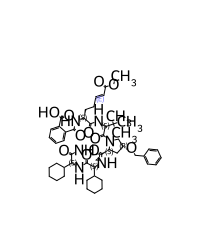 COC(=O)/C=C/CC[C@H](NC(=O)c1ccccc1C(=O)O)C(=O)N[C@H](C(=O)N1C[C@H](OCc2ccccc2)C[C@H]1C(=O)N[C@H](C(=O)N[C@H](C(N)=O)C1CCCCC1)C1CCCCC1)C(C)(C)C